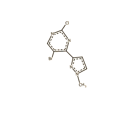 Cn1ccc(-c2nc(Cl)ncc2Br)n1